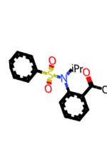 CC(C)N(c1ccccc1C(=O)C(F)(F)F)S(=O)(=O)c1ccccc1